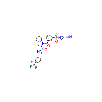 N#CC1CN(S(=O)(=O)c2cccc(C(=O)N3c4ccccc4CC3C(=O)NCc3ccc(C(F)(F)F)cc3)c2)C1